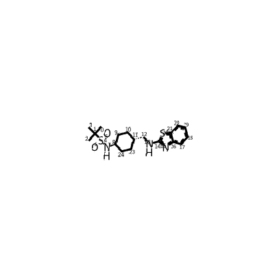 CC(C)(C)S(=O)(=O)N[C@H]1CC[C@H](CNc2nc3ccccc3s2)CC1